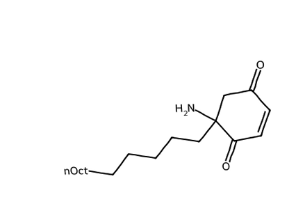 CCCCCCCCCCCCCC1(N)CC(=O)C=CC1=O